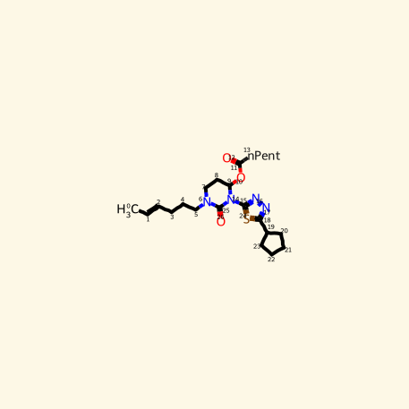 C/C=C/CCCN1CCC(OC(=O)CCCCC)N(c2nnc(C3CCCC3)s2)C1=O